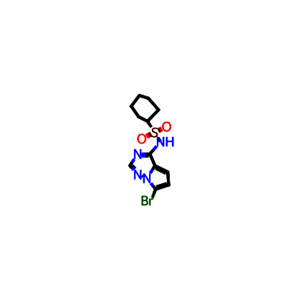 O=S(=O)(Nc1ncnn2c(Br)ccc12)C1CCCCC1